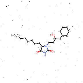 O=C(O)CCCCCCC1C(=O)NC(=O)N1CCC(O)CC1CCCCC1